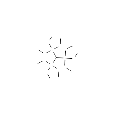 CCO[Si](OCC)(OCC)C([Si](OCC)(OCC)OCC)[Si](OCC)(OCC)OCC